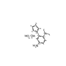 CN(C)c1ccc(N)cc1-c1ccsc1.Cl.Cl